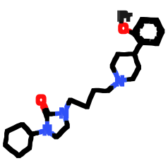 CC(C)Oc1ccccc1C1CCN(CCCCN2CCN(C3CCCCC3)C2=O)CC1